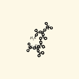 Cc1ccc(N(c2ccccc2)c2ccc3c(c2)c2cc(N(c4ccccc4)c4cccc(-c5ccc(N(c6ccccc6)c6ccc7c(c6)c6cc(N(c8ccccc8)c8ccccc8)ccc6n7-c6ccc(-c7cc(-c8ccccc8)nc(-c8ccccc8)n7)cc6C)cc5)c4)ccc2n3-c2ccc(-c3cc(-c4ccccc4)nc(-c4ccccc4)n3)cc2)cc1